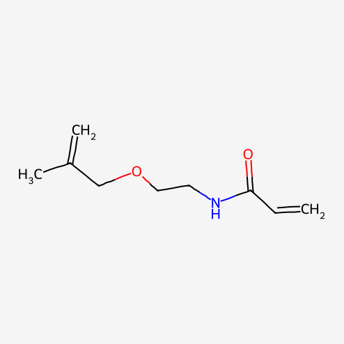 C=CC(=O)NCCOCC(=C)C